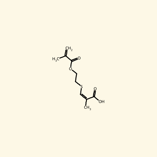 C=C(C)C(=O)OCCSC=C(C)C(=O)O